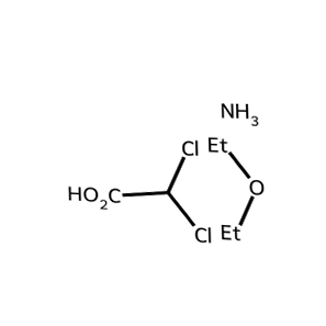 CCOCC.N.O=C(O)C(Cl)Cl